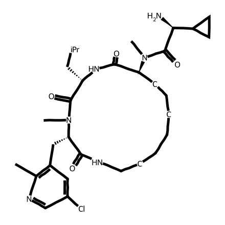 Cc1ncc(Cl)cc1C[C@H]1C(=O)NCCCCCCC[C@H](N(C)C(=O)[C@@H](N)C2CC2)C(=O)N[C@@H](CC(C)C)C(=O)N1C